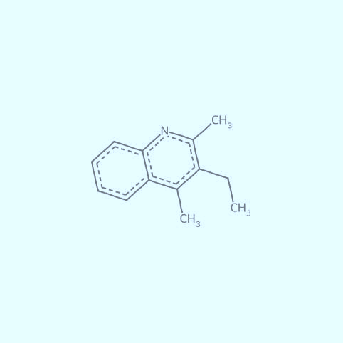 CCc1c(C)nc2ccccc2c1C